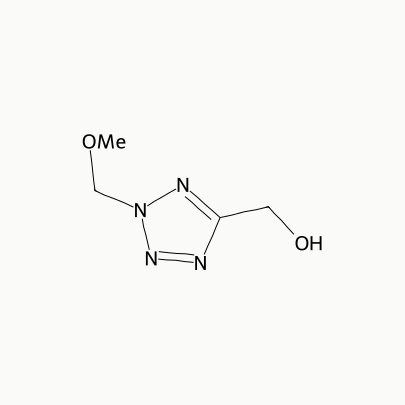 COCn1nnc(CO)n1